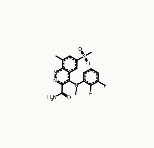 Cc1cc(S(C)(=O)=O)cc2c(N(F)c3cccc(F)c3F)c(C(N)=O)nnc12